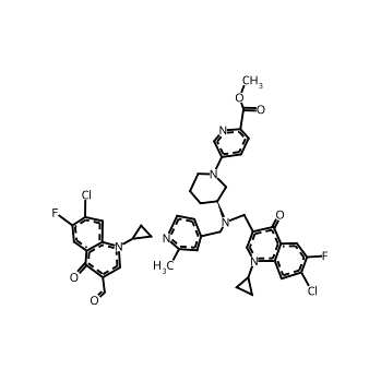 COC(=O)c1ccc(N2CCC[C@H](N(Cc3ccnc(C)c3)Cc3cn(C4CC4)c4cc(Cl)c(F)cc4c3=O)C2)cn1.O=Cc1cn(C2CC2)c2cc(Cl)c(F)cc2c1=O